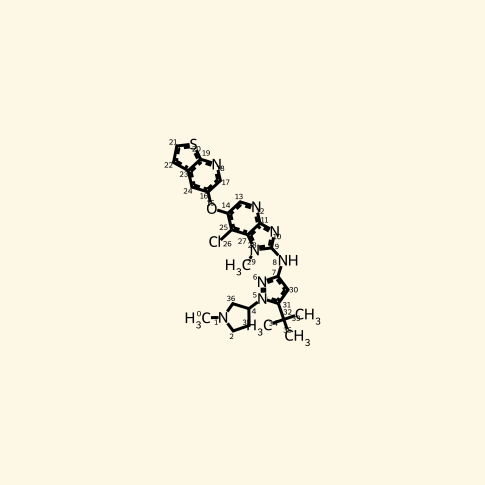 CN1CCC(n2nc(Nc3nc4ncc(Oc5cnc6sccc6c5)c(Cl)c4n3C)cc2C(C)(C)C)C1